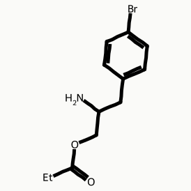 CCC(=O)OCC(N)Cc1ccc(Br)cc1